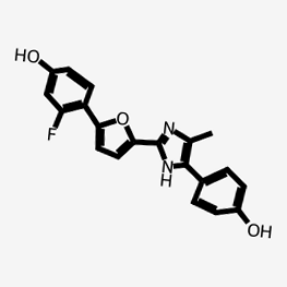 Cc1nc(-c2ccc(-c3ccc(O)cc3F)o2)[nH]c1-c1ccc(O)cc1